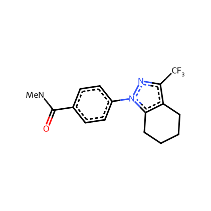 CNC(=O)c1ccc(-n2nc(C(F)(F)F)c3c2CCCC3)cc1